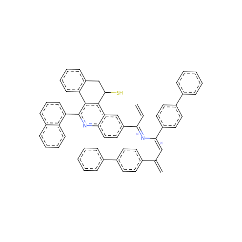 C=C/C(=N\C(=C/C(=C)c1ccc(-c2ccccc2)cc1)c1ccc(-c2ccccc2)cc1)c1ccc2nc(-c3cccc4ccccc34)c3c(c2c1)C(S)Cc1ccccc1-3